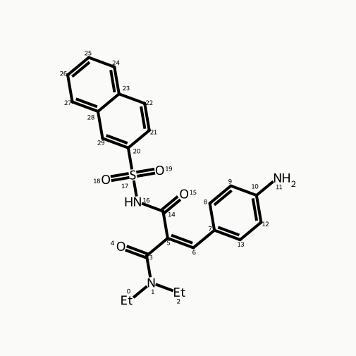 CCN(CC)C(=O)C(=Cc1ccc(N)cc1)C(=O)NS(=O)(=O)c1ccc2ccccc2c1